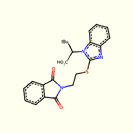 CC(C)(C)C(C(=O)O)n1c(SCCN2C(=O)c3ccccc3C2=O)nc2ccccc21